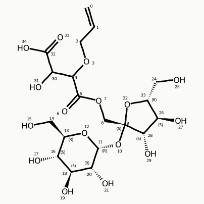 C=CCOC(C(=O)OC[C@@]1(O[C@H]2O[C@H](CO)[C@@H](O)[C@H](O)[C@H]2O)O[C@H](CO)[C@@H](O)[C@@H]1O)C(O)C(=O)O